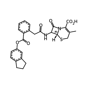 CC1=C(C(=O)O)N2C(=O)C(NC(=O)Cc3ccccc3C(=O)Oc3ccc4c(c3)CCC4)[C@H]2SC1